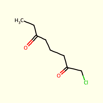 CCC(=O)CCCC(=O)CCl